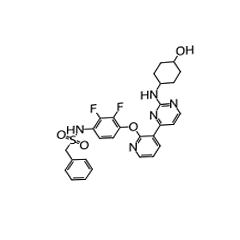 O=S(=O)(Cc1ccccc1)Nc1ccc(Oc2ncccc2-c2ccnc(NC3CCC(O)CC3)n2)c(F)c1F